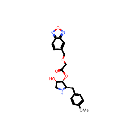 COc1ccc(C[C@H]2NC[C@H](O)[C@H]2OC(=O)COCc2ccc3nonc3c2)cc1